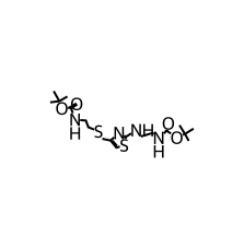 CC(C)(C)OC(=O)NCCNc1nc(CSCCNC(=O)OC(C)(C)C)cs1